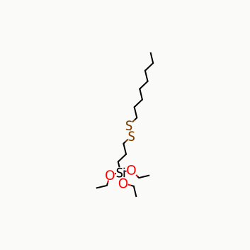 CCCCCCCCSSCCC[Si](OCC)(OCC)OCC